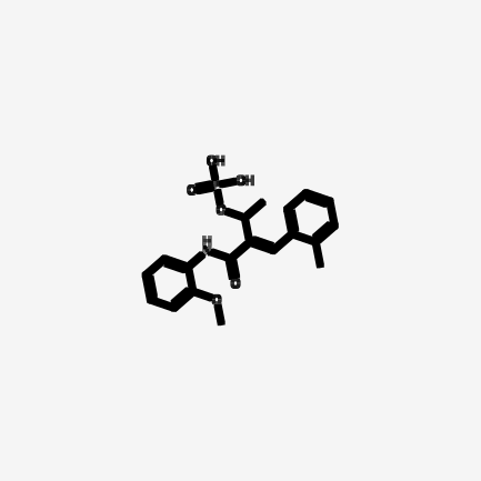 COc1ccccc1NC(=O)/C(=C/c1ccccc1C)C(C)OP(=O)(O)O